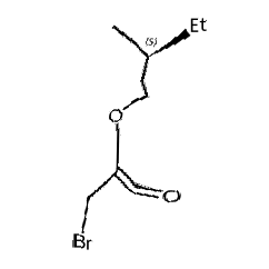 CC[C@H](C)COC(=O)CBr